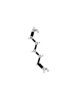 C=COOON=[SiH2]